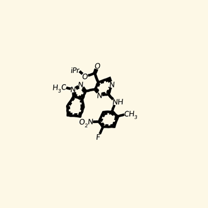 Cc1cc(F)c([N+](=O)[O-])cc1Nc1ncc(C(=O)OC(C)C)c(-c2nn(C)c3ccccc23)n1